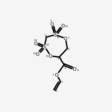 C=COC(=O)C1COS(=O)(=O)CS(=O)(=O)O1